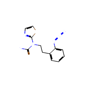 [N-]=[N+]=Nc1ccccc1CCN(C(N)=S)c1nccs1